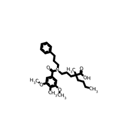 CCCCC(C)(CCCN(CCCc1ccccc1)C(=O)c1cc(OC)c(C)c(OC)c1)C(=O)O